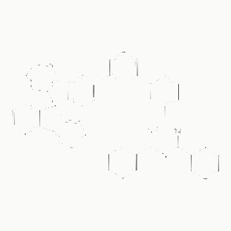 c1ccc(-c2nc(-c3ccccc3)nc(-c3cccc(-c4cccc(-c5ccc(C6(c7ccccc7)c7ccccc7-c7ccccc76)cc5)c4)c3)n2)cc1